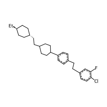 CC[C@H]1CC[C@H](CCC2CCC(c3ccc(CCc4ccc(Cl)c(F)c4)cc3)CC2)CC1